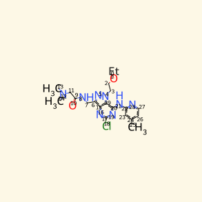 CCOCCn1nc(CNC(=O)CN(C)C)c2nc(Cl)nc(Nc3cc(C)ccn3)c21